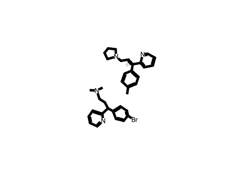 CN(C)CCC(c1ccc(Br)cc1)c1ccccn1.Cc1ccc(/C(=C\CN2CCCC2)c2ccccn2)cc1